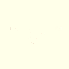 CCCCOCc1cccc(CCCC)c1O